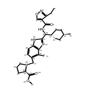 CCc1nocc1C(=O)N[C@H](c1nc2c(F)c(CN3CCC[C@@H]3C(=O)OC)ccc2[nH]1)[C@H]1CC[C@H](C)CC1